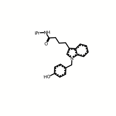 CC(C)NC(=O)CCCc1cn(Cc2ccc(O)cc2)c2ccccc12